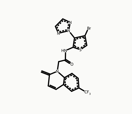 C=C1C=Cc2cc(C(F)(F)F)ccc2N1CC(=O)Nc1scc(Br)c1-n1nccn1